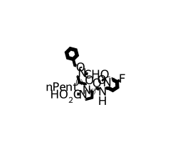 CCCCC[C@H](CN(C=O)OCc1ccccc1)C(=O)N1[C@H](C(=O)Nc2ccc(F)c[n+]2[O-])CCN1C(=O)O